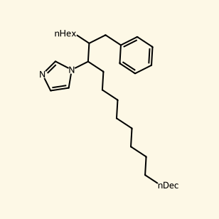 CCCCCCCCCCCCCCCCCCC(C(CCCCCC)Cc1ccccc1)n1ccnc1